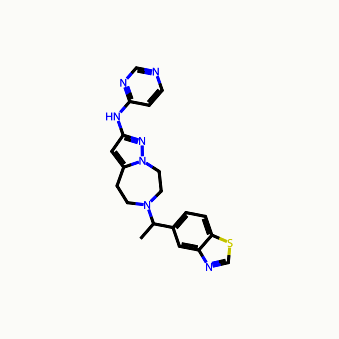 CC(c1ccc2scnc2c1)N1CCc2cc(Nc3ccncn3)nn2CC1